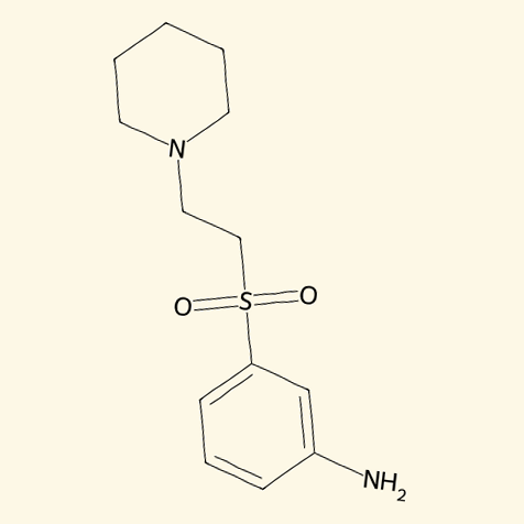 Nc1cccc(S(=O)(=O)CCN2CCCCC2)c1